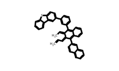 C=C/C=c1/c(-c2ccc3ccccc3c2)c2ccccc2c(-c2cccc(-c3ccc4sc5ccccc5c4c3)c2)/c1=C/C